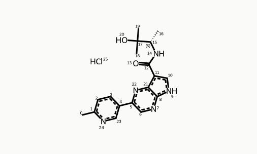 Cc1ccc(-c2cnc3[nH]cc(C(=O)N[C@@H](C)C(C)(C)O)c3n2)cn1.Cl